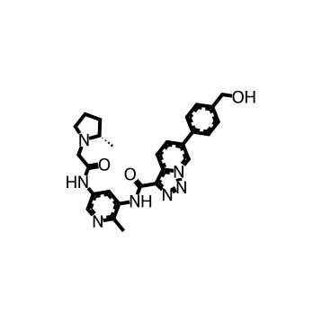 Cc1ncc(NC(=O)CN2CCC[C@@H]2C)cc1NC(=O)c1nnn2cc(-c3ccc(CO)cc3)ccc12